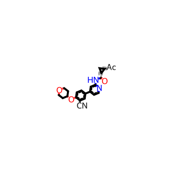 CC(=O)[C@@H]1C[C@H]1C(=O)Nc1cc(-c2ccc(OC3CCOCC3)c(C#N)c2)ccn1